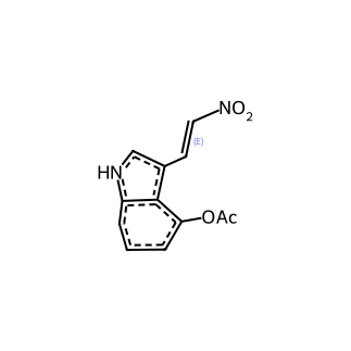 CC(=O)Oc1cccc2[nH]cc(/C=C/[N+](=O)[O-])c12